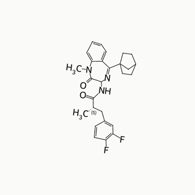 C[C@@H](Cc1ccc(F)c(F)c1)C(=O)NC1N=C(C23CCC(CC2)C3)c2ccccc2N(C)C1=O